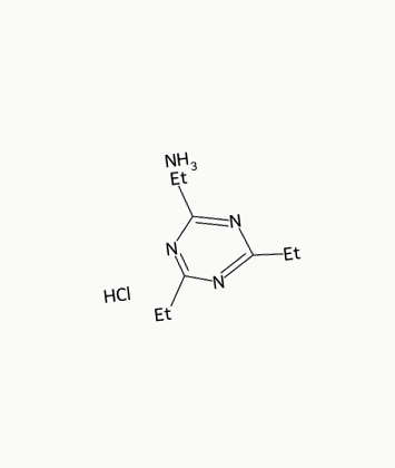 CCc1nc(CC)nc(CC)n1.Cl.N